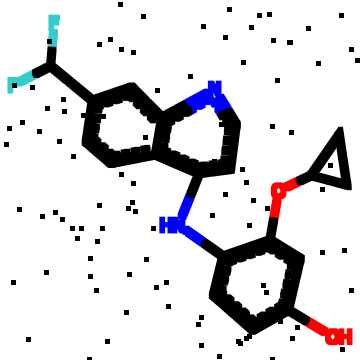 Oc1ccc(Nc2ccnc3cc(C(F)F)ccc23)c(OC2CC2)c1